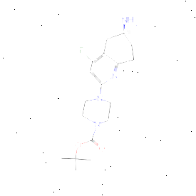 CC(C)(C)OC(=O)N1CCN(c2cc(F)c3c(n2)CC[C@H](N)C3)CC1